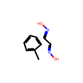 Cc1ccccc1.ON=CC=NO